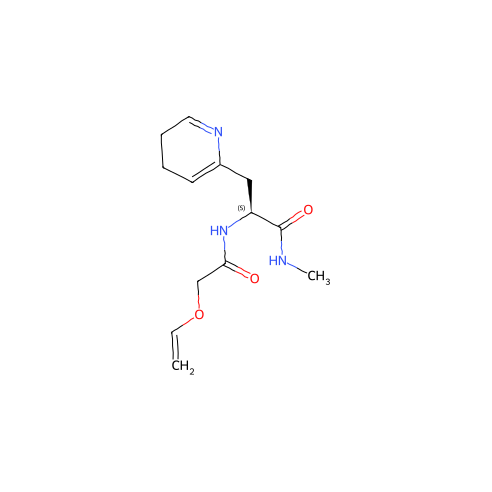 C=COCC(=O)N[C@@H](CC1=CCCC=N1)C(=O)NC